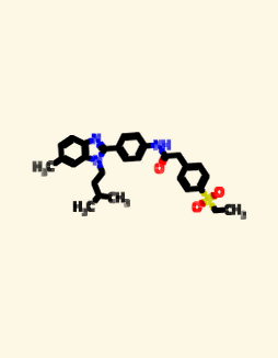 CCS(=O)(=O)c1ccc(CC(=O)Nc2ccc(-c3nc4ccc(C)cc4n3CCC(C)C)cc2)cc1